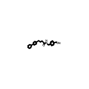 O=C(CCCc1ccc(-c2ccccc2)cc1)NCc1ccc(CO)cc1